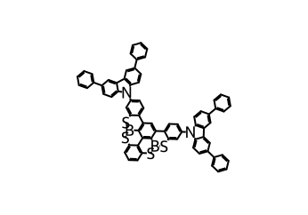 c1ccc(-c2ccc3c(c2)c2cc(-c4ccccc4)ccc2n3-c2ccc3c(c2)SB2Sc4cccc5c4-c4c2c-3cc2c4B(Sc3cc(-n4c6ccc(-c7ccccc7)cc6c6cc(-c7ccccc7)ccc64)ccc3-2)S5)cc1